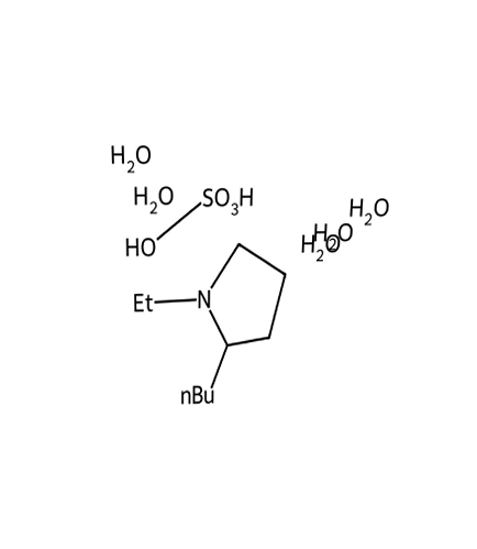 CCCCC1CCCN1CC.O.O.O.O.O.O=S(=O)(O)O